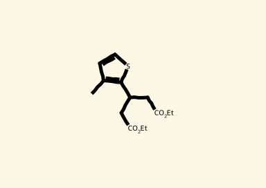 CCOC(=O)CC(CC(=O)OCC)c1sccc1C